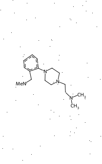 CNCc1ccccc1N1CCN(CCN(C)C)CC1